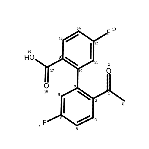 CC(=O)c1ccc(F)cc1-c1cc(F)ccc1C(=O)O